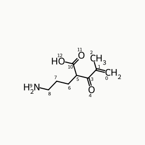 C=C(C)C(=O)C(CCCN)C(=O)O